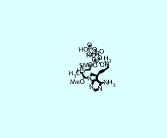 CO[C@H](C(C)[SH](COOP(=O)(O)OP(=O)(O)OP(=O)(O)O)SC)n1cc(C#CCN)c2c(N)ncnc21